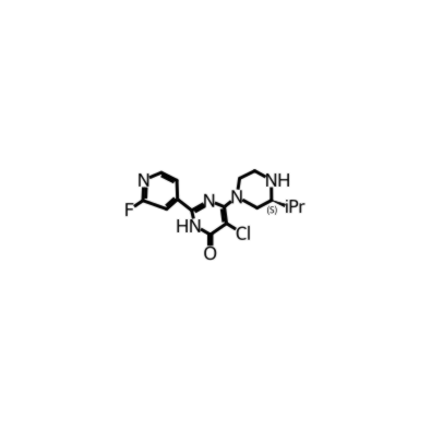 CC(C)[C@H]1CN(c2nc(-c3ccnc(F)c3)[nH]c(=O)c2Cl)CCN1